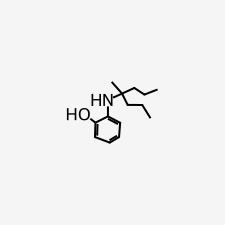 CCCC(C)(CCC)Nc1ccccc1O